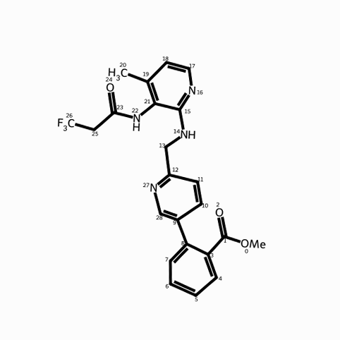 COC(=O)c1ccccc1-c1ccc(CNc2nccc(C)c2NC(=O)CC(F)(F)F)nc1